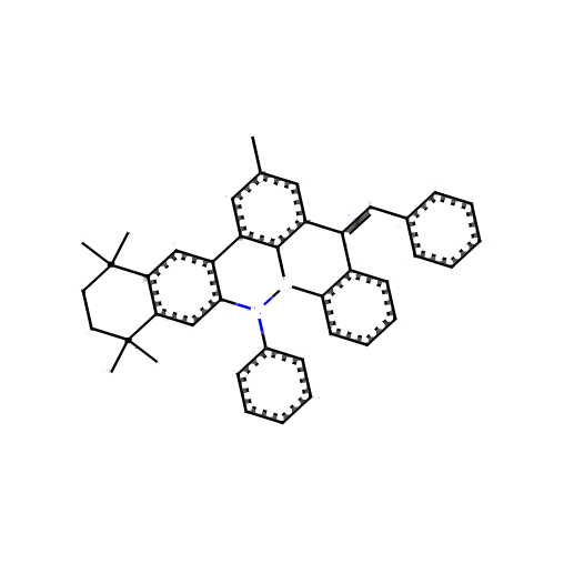 Cc1cc2c3c(c1)-c1cc4c(cc1N(c1ccccc1)B3c1ccccc1/C2=C\c1ccccc1)C(C)(C)CCC4(C)C